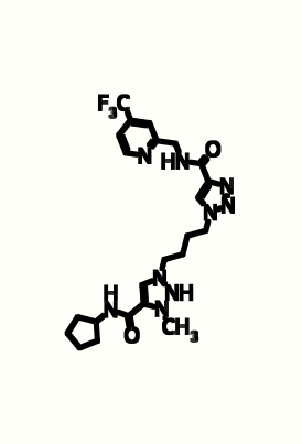 CN1NN(CCCCn2cc(C(=O)NCc3cc(C(F)(F)F)ccn3)nn2)C=C1C(=O)NC1CCCC1